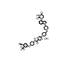 Cl.N#Cc1ccc(OC2CCC(NC(=O)c3cnc(N4CCC(CN5CCC(n6ccc7c(N8CCC(=O)NC8=O)cccc76)CC5)CC4)cn3)CC2)cc1C(F)(F)F